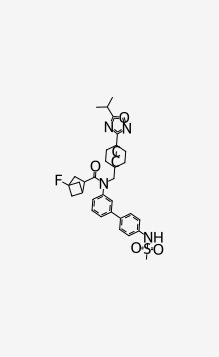 CC(C)c1nc(C23CCC(CN(C(=O)C4CC5(F)CC4C5)c4cccc(-c5ccc(NS(C)(=O)=O)cc5)c4)(CC2)CC3)no1